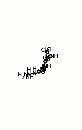 N=C(N)NCCCNCc1ccc(-n2cc3cc(-c4ccc(S(=O)(=O)N(Cc5ccc(Cl)c(Cl)c5)C5CCNCC5)cc4)[nH]c3nc2=O)cc1